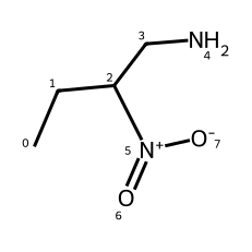 CCC(CN)[N+](=O)[O-]